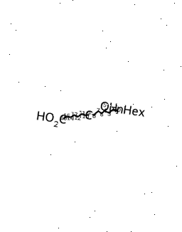 CCCCCCC=CCC(O)CCCCCCCCCCC(=O)O